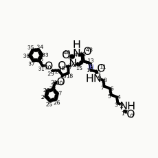 O=CNCCCCCCNC(=O)/C=C/c1cn(C2CC(OCc3ccccc3)C(COCc3ccccc3)O2)c(=O)[nH]c1=O